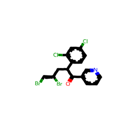 O=C(c1cccnc1)C(CC(Br)=CBr)c1ccc(Cl)cc1Cl